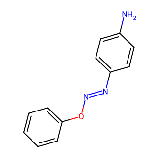 Nc1ccc(N=NOc2ccccc2)cc1